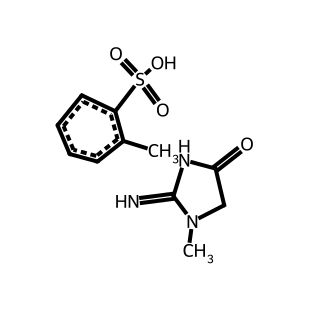 CN1CC(=O)NC1=N.Cc1ccccc1S(=O)(=O)O